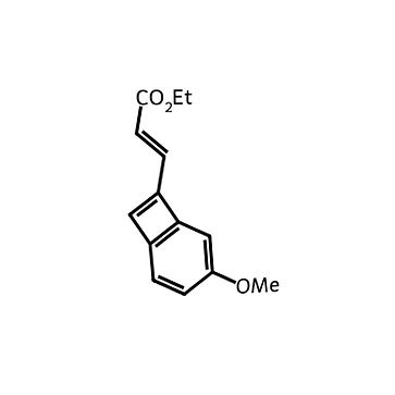 CCOC(=O)/C=C/C1=Cc2ccc(OC)cc21